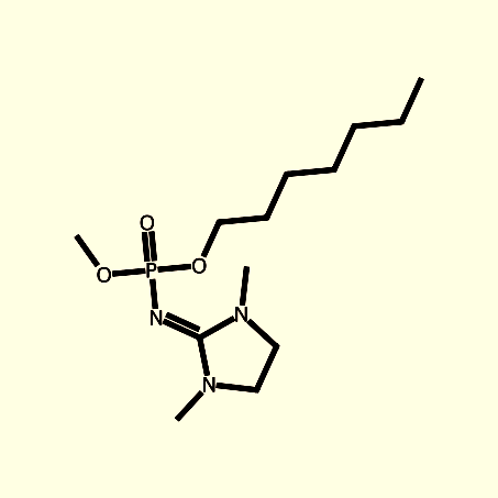 CCCCCCCOP(=O)(N=C1N(C)CCN1C)OC